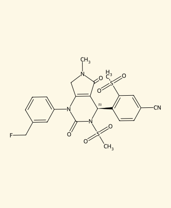 CN1CC2=C(C1=O)[C@@H](c1ccc(C#N)cc1S(C)(=O)=O)N(S(C)(=O)=O)C(=O)N2c1cccc(CF)c1